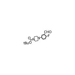 CC(C)(C)OC(=O)N1CCN(c2ccc(F)c(C=O)c2)CC1